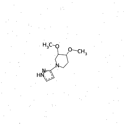 COC1CCN(c2cc[nH]n2)CC1OC